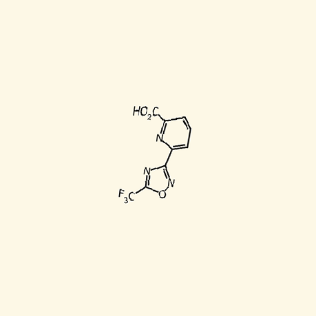 O=C(O)c1cccc(-c2noc(C(F)(F)F)n2)n1